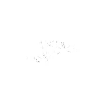 CN(C(=O)[C@H]1CCC2=Cc3c(cnn3-c3ccc(F)cc3)C[C@]2(CO[Si](C)(C)C(C)(C)C)C1)c1cnn(C)c1